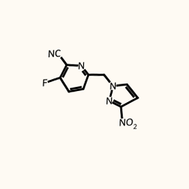 N#Cc1nc(Cn2ccc([N+](=O)[O-])n2)ccc1F